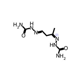 C/C(CC=NNC(N)=O)=N/NC(N)=O